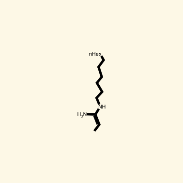 CC=C(N)NCCCCCCCCCCCC